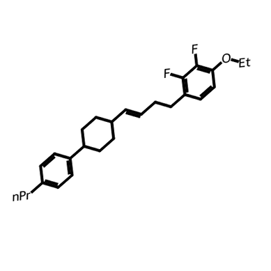 CCCc1ccc(C2CCC(/C=C/CCc3ccc(OCC)c(F)c3F)CC2)cc1